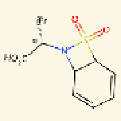 CC(C)[C@@H](C(=O)O)N1C2C=CC=CC2S1(=O)=O